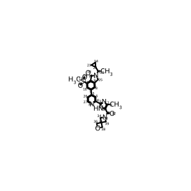 Cc1nc(-c2cc(-c3cc4c(c(S(C)(=O)=O)c3)C(=O)N(C(C)C3CC3)C4)ccn2)[nH]c1C(=O)N1CC2(COC2)C1